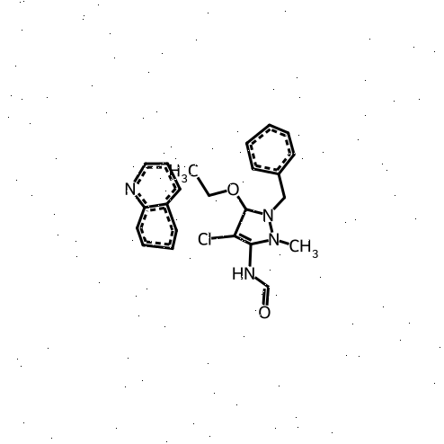 CCOC1C(Cl)=C(NC=O)N(C)N1Cc1ccccc1.c1ccc2ncccc2c1